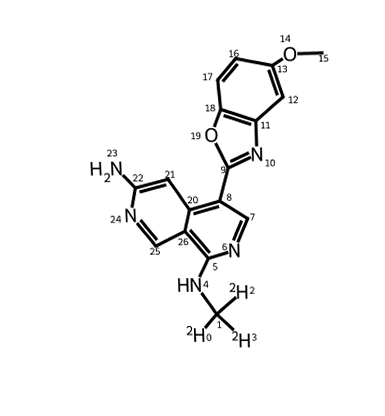 [2H]C([2H])([2H])Nc1ncc(-c2nc3cc(OC)ccc3o2)c2cc(N)ncc12